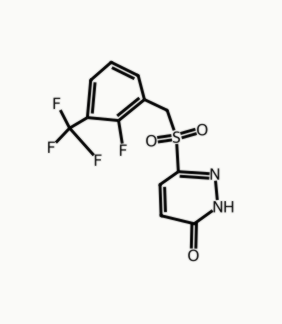 O=c1ccc(S(=O)(=O)Cc2cccc(C(F)(F)F)c2F)n[nH]1